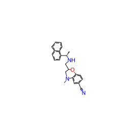 C[C@@H](NCC1CN(C)c2cc(C#N)ccc2O1)c1cccc2ccccc12